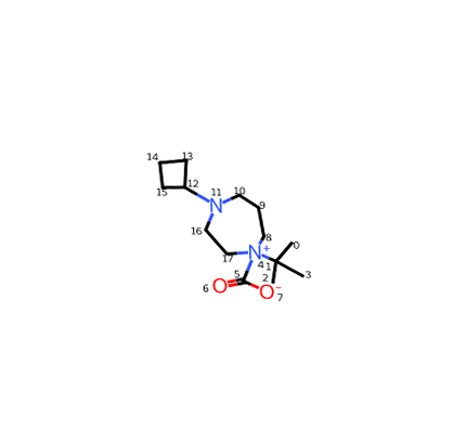 CC(C)(C)[N+]1(C(=O)[O-])CCCN(C2CCC2)CC1